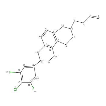 C=CCCC1CCc2c(ccc3c2CCC(c2cc(F)c(Cl)c(F)c2)C3)C1